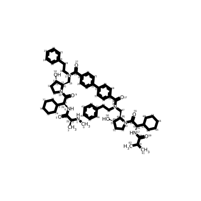 CN[C@@H](C)C(=O)N[C@H](C(=O)N1CC[C@H](O)[C@H]1CN(CCc1ccccc1)C(=O)c1ccc(-c2ccc(C(=O)N(CCc3ccccc3)C[C@@H]3[C@@H](O)CCN3C(=O)[C@@H](NC(=O)C(C)C)C3CCCCC3)cc2)cc1)C1CCCCC1